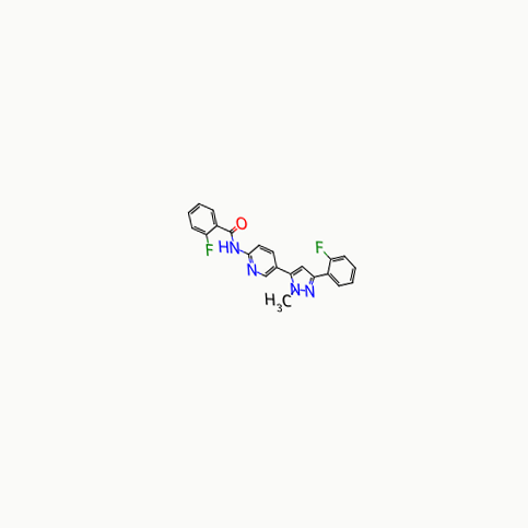 Cn1nc(-c2ccccc2F)cc1-c1ccc(NC(=O)c2ccccc2F)nc1